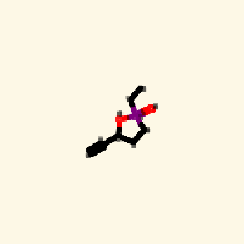 C#CC1CCP(=O)(CC)O1